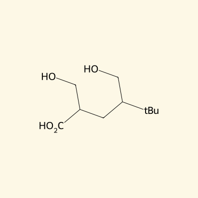 CC(C)(C)C(CO)CC(CO)C(=O)O